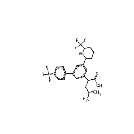 CC(C)CC(C(=O)O)c1cc(-c2ccc(C(F)(F)F)cc2)cc(C2CCC[C@H](C(F)(F)F)N2)c1